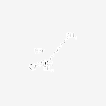 Br.CCCCCCCCCCCCCNC(C)(C)COc1ccccc1